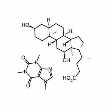 C[C@H](CCC(=O)O)[C@H]1CC[C@H]2[C@@H]3CC[C@@H]4C[C@H](O)CC[C@]4(C)[C@H]3C[C@H](O)[C@]12C.Cn1c(=O)c2c(ncn2C)n(C)c1=O